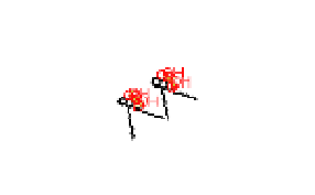 CCCCCCCCCc1c(S(=O)(=O)O)c(S(=O)(=O)O)c2ccccc2c1CCCCCCCCC.CCCCCCCCCc1c(S(=O)(=O)O)c(S(=O)(=O)O)c2ccccc2c1CCCCCCCCC